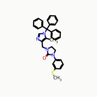 CSc1cccc(N2CCN(Cc3ncn(C(c4ccccc4)(c4ccccc4)c4ccccc4)c3C)C2=O)c1